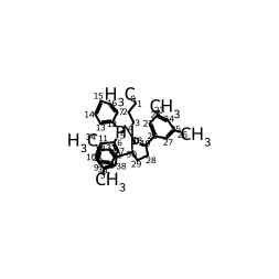 CCCCN(P(c1ccccc1)c1ccccc1)P1C(c2cc(C)cc(C)c2)CCC1c1cc(C)cc(C)c1